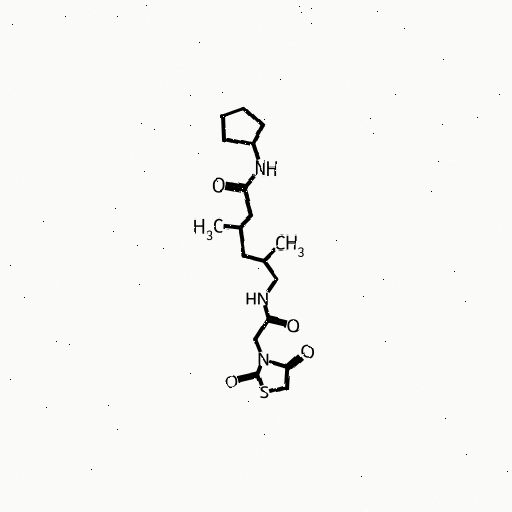 CC(CNC(=O)CN1C(=O)CSC1=O)CC(C)CC(=O)NC1CCCC1